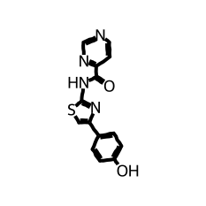 O=C(Nc1nc(-c2ccc(O)cc2)cs1)c1ccncn1